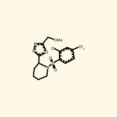 COCc1nnc(C2CCCCN2S(=O)(=O)c2ccc(C(F)(F)F)cc2Cl)o1